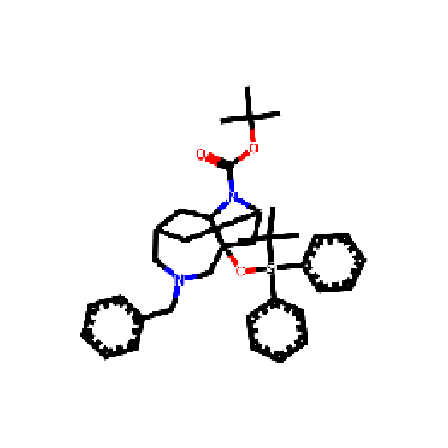 CC(C)(C)OC(=O)N1C2CC3CC1C(O[Si](c1ccccc1)(c1ccccc1)C(C)(C)C)(C2)CN(Cc1ccccc1)C3